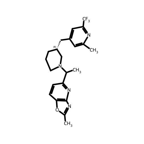 Cc1cc(C[C@H]2CCCN(C(C)c3ccc4oc(C)nc4n3)C2)cc(C(F)(F)F)n1